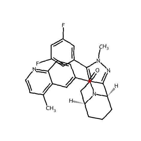 Cc1ccnc2ccc(C(=O)N3[C@H]4CCC[C@@H]3c3nn(C)c(-c5cc(F)cc(F)c5)c3C4)cc12